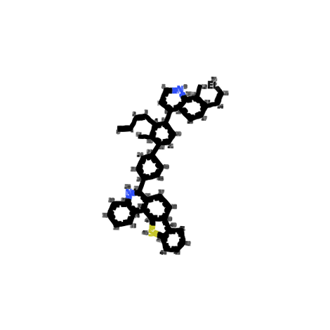 C=C/C=C\c1c(-c2ccnc3c(C)c(/C=C\CC)ccc23)ccc(-c2ccc(-c3nc4ccccc4c4c3ccc3c5ccccc5sc34)cc2)c1C